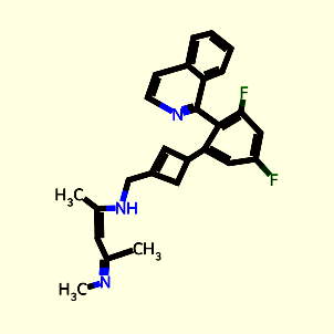 C/N=C(C)\C=C(\C)NCC1=CC(c2cc(F)cc(F)c2-c2nccc3ccccc23)C1